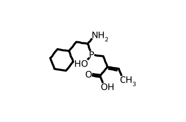 C/C=C(/CP(O)C(N)CC1CCCCC1)C(=O)O